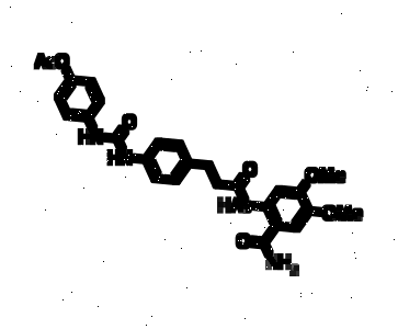 COc1cc([AsH]C(=O)CCc2ccc(NC(=O)Nc3ccc(OC(C)=O)cc3)cc2)c(C(N)=O)cc1OC